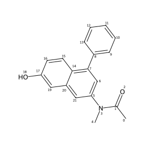 CC(=O)N(C)c1cc(-c2ccccc2)c2ccc(O)cc2c1